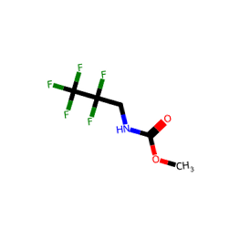 COC(=O)NCC(F)(F)C(F)(F)F